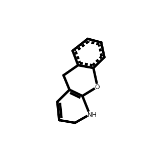 C1=CC2=C(NC1)Oc1ccccc1C2